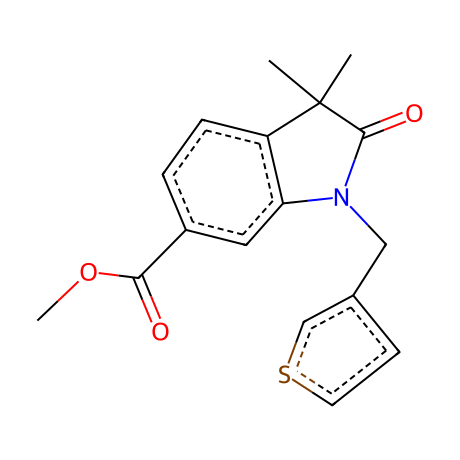 COC(=O)c1ccc2c(c1)N(Cc1ccsc1)C(=O)C2(C)C